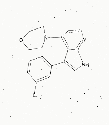 Clc1cccc(-c2c[nH]c3nccc(N4CCOCC4)c23)c1